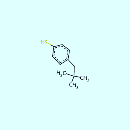 CC(C)(C)Cc1ccc(S)cc1